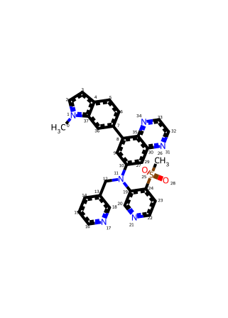 Cn1ccc2ccc(-c3cc(N(Cc4cccnc4)c4cnccc4S(C)(=O)=O)cc4nccnc34)cc21